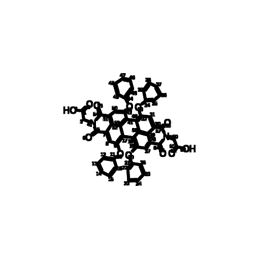 O=C(O)CN1C(=O)c2cc(Oc3ccccc3)c3c4c(Oc5ccccc5)cc5c6c(cc(Oc7ccccc7)c(c7c(Oc8ccccc8)cc(c2c37)C1=O)c64)C(=O)N(CC(=O)O)C5=O